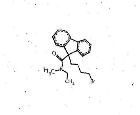 CCN(C)C(=O)C1(CCCCBr)c2ccccc2-c2ccccc21